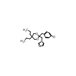 CCCC1(CCC)COC(Cc2ccc(Cl)cc2)(Cn2ccnc2)OC1